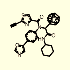 C#Cc1nc(C(=O)N(c2ccc(-c3cnco3)cc2)C(C(=O)NC2CCCCC2)[C]23[CH]4[CH]5[CH]6[CH]2[Fe]56432789[CH]3[CH]2[CH]7[CH]8[CH]39)cs1